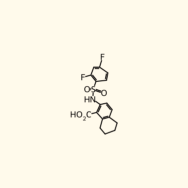 O=C(O)c1c(NS(=O)(=O)c2ccc(F)cc2F)ccc2c1CCCC2